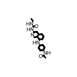 CCNC(=O)Nc1cc2cccc(Nc3ccc(NC(C)=O)cc3)c2cn1